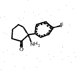 NC1(c2ccc(F)cc2)CCCCC1=O